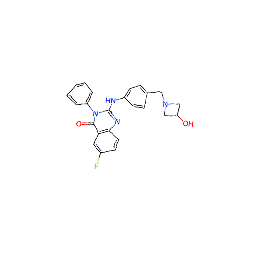 O=c1c2cc(F)ccc2nc(Nc2ccc(CN3CC(O)C3)cc2)n1-c1ccccc1